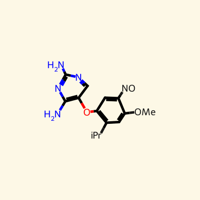 COc1cc(C(C)C)c(Oc2cnc(N)nc2N)cc1N=O